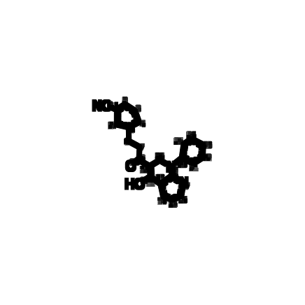 N#Cc1cccc(CCC(=O)C2=C(O)c3cccnc3N(c3ccccc3)C2)c1